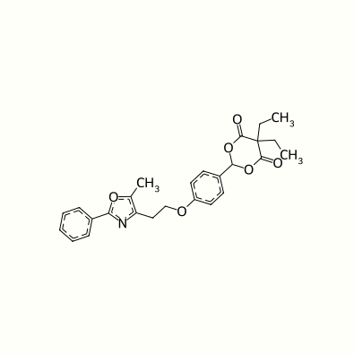 CCC1(CC)C(=O)OC(c2ccc(OCCc3nc(-c4ccccc4)oc3C)cc2)OC1=O